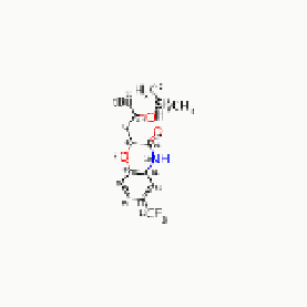 C[SiH](C)OC(CC1Oc2ccc(C(F)(F)F)cc2NC1=O)C(C)(C)C